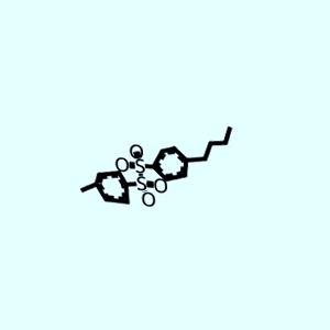 CCCCc1ccc(S(=O)(=O)S(=O)(=O)c2ccc(C)cc2)cc1